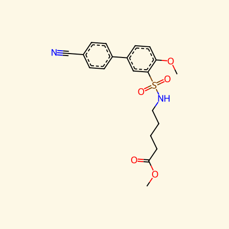 COC(=O)CCCCNS(=O)(=O)c1cc(-c2ccc(C#N)cc2)ccc1OC